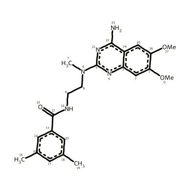 COc1cc2nc(N(C)CCNC(=O)c3cc(C)cc(C)c3)nc(N)c2cc1OC